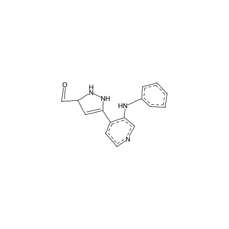 O=CC1C=C(c2ccncc2Nc2ccccc2)NN1